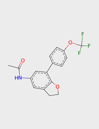 CC(=O)Nc1cc2c(c(-c3ccc(OC(F)(F)F)cc3)c1)OCC2